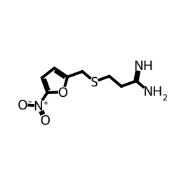 N=C(N)CCSCc1ccc([N+](=O)[O-])o1